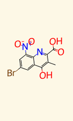 Cc1c(C(=O)O)nc2c([N+](=O)[O-])cc(Br)cc2c1O